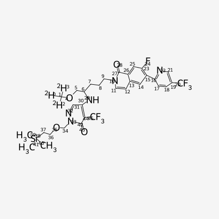 [2H]C([2H])([2H])OCC(CCCn1ccc2cc(-c3ccc(C(F)(F)F)cn3)c(F)cc2c1=O)Nc1cnn(COCC[Si](C)(C)C)c(=O)c1C(F)(F)F